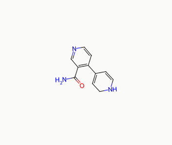 NC(=O)c1cnccc1C1=CCNC=C1